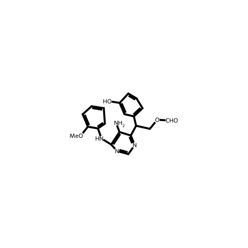 COc1ccccc1Nc1ncnc(C(COC=O)c2cccc(O)c2)c1N